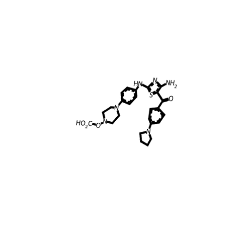 Nc1nc(Nc2ccc(N3CCN(OC(=O)O)CC3)cc2)sc1C(=O)c1ccc(N2CCCC2)cc1